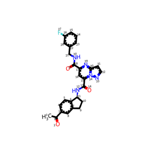 CC(=O)c1ccc2c(c1)CC[C@@H]2NC(=O)c1cc(C(=O)NCc2cccc(F)c2)nc2ccnn12